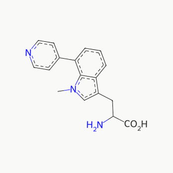 Cn1cc(CC(N)C(=O)O)c2cccc(-c3ccncc3)c21